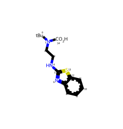 CC(C)(C)N(CCNc1nc2ccccc2s1)C(=O)O